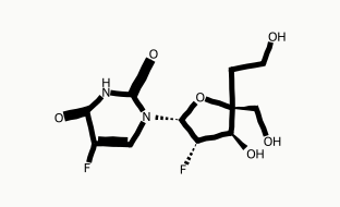 O=c1[nH]c(=O)n([C@@H]2O[C@](CO)(CCO)[C@@H](O)[C@@H]2F)cc1F